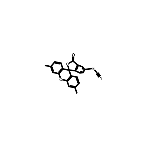 Cc1ccc2c(c1)Oc1cc(C)ccc1C21OC(=O)c2cc(SC#N)ccc21